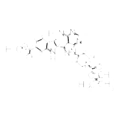 COC(=O)c1ccc2cc(-c3nn(C4CCN(C(=O)OC(C)(C)C)CC4)c4ncnc(N)c34)[nH]c2c1